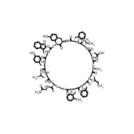 CCCC[C@H]1C(=O)N(C)CC(=O)N[C@@H](CC(=O)O)C(=O)N[C@@H](C(C)C)C(=O)N(C)[C@@H](Cc2ccccc2)C(=O)N[C@H]2Cc3ccc(O)cc3N(CC(=O)N[C@@H](Cc3c[nH]c4ccccc34)C(=O)N[C@@H](Cc3ccc(O)cc3)C(=O)N[C@@H](CC(C)C)C(=O)N[C@H](C(=O)NCC(N)=O)CSCC(=O)N[C@@H](Cc3ccccc3C)C(=O)N(C)[C@@H](Cc3ccccc3)C(=O)N1C)C2=O